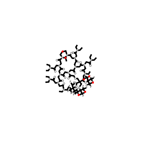 CCN(CC)C(=O)CN(CC(=O)N(CC)CC)C(=O)CN(CC(=O)N(CC(=O)N(CC)CC)CC(=O)N(CC)CC)C(=O)CN(CC(=O)N(CC(=O)N(CC(=O)N(CC)CC)CC(=O)N(CC)CC)CC(=O)N(CC(=O)N(CC)CC)CC(=O)N(CC)CC)C(=O)COCC(COC(C(F)(F)F)(C(F)(F)F)C(F)(F)F)(COC(C(F)(F)F)(C(F)(F)F)C(F)(F)F)COC(C(F)(F)F)(C(F)(F)F)C(F)(F)F